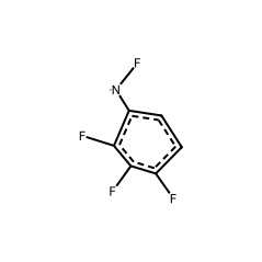 F[N]c1ccc(F)c(F)c1F